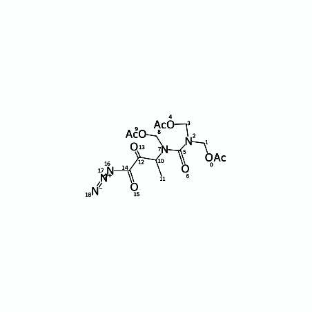 CC(=O)OCN(COC(C)=O)C(=O)N(COC(C)=O)C(C)C(=O)C(=O)N=[N+]=[N-]